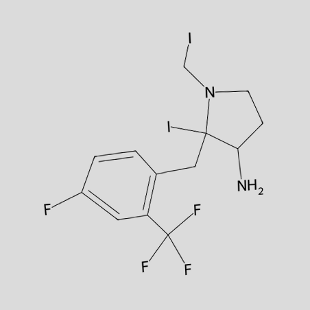 NC1CCN(CI)C1(I)Cc1ccc(F)cc1C(F)(F)F